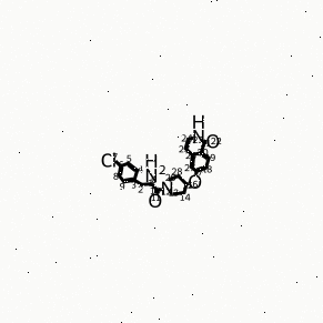 NC(Cc1ccc(Cl)cc1)C(=O)N1CCC(Oc2ccc3c(=O)[nH]ccc3c2)CC1